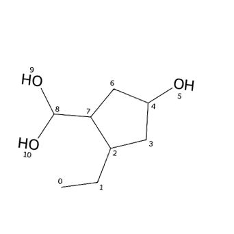 CCC1CC(O)CC1C(O)O